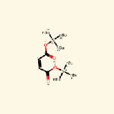 CCCC[Si](CCCC)(CCCC)OC(=O)/C=C\C(=O)O[Si](CCCC)(CCCC)CCCC